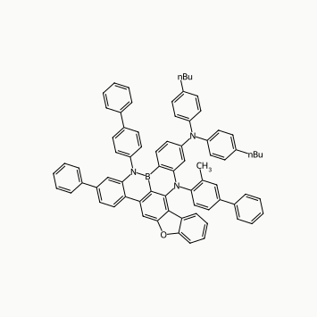 CCCCc1ccc(N(c2ccc(CCCC)cc2)c2ccc3c(c2)N(c2ccc(-c4ccccc4)cc2C)c2c4c(cc5oc6ccccc6c25)-c2ccc(-c5ccccc5)cc2N(c2ccc(-c5ccccc5)cc2)B34)cc1